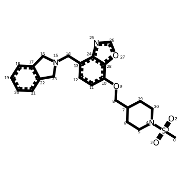 CS(=O)(=O)N1CCC(COc2ccc(CN3Cc4ccccc4C3)c3ncoc23)CC1